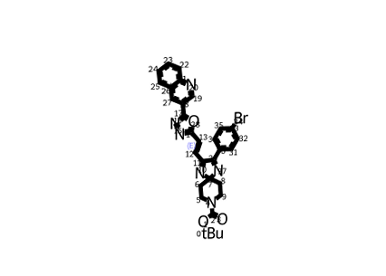 CC(C)(C)OC(=O)N1CCC2(CC1)N=C(/C=C/c1nnc(-c3cnc4ccccc4c3)o1)C(c1ccc(Br)cc1)=N2